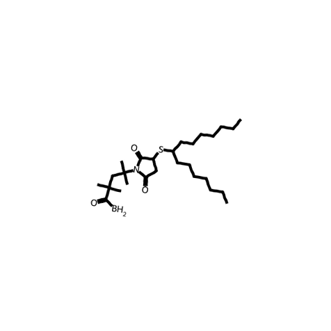 BC(=O)C(C)(C)CC(C)(C)N1C(=O)CC(SC(CCCCCCC)CCCCCCC)C1=O